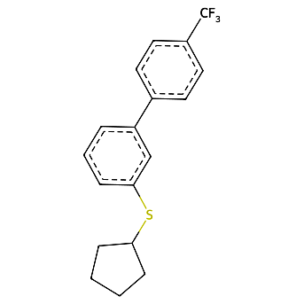 FC(F)(F)c1ccc(-c2cccc(SC3CCCC3)c2)cc1